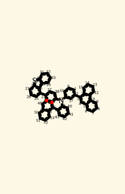 c1cc(-c2cc3ccccc3c3ccccc23)cc(N(c2ccc(-c3cccc4sc5ccccc5c34)cc2)c2ccccc2-c2cccc3ccccc23)c1